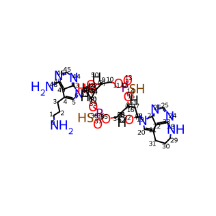 NCCCc1cn([C@@H]2O[C@@H]3COP(=O)(S)O[C@H]4C[C@H](n5cc6c7c(ncnc75)NCCC6)O[C@@H]4COP(=O)(S)O[C@@H]2[C@@H]3O)c2ncnc(N)c12